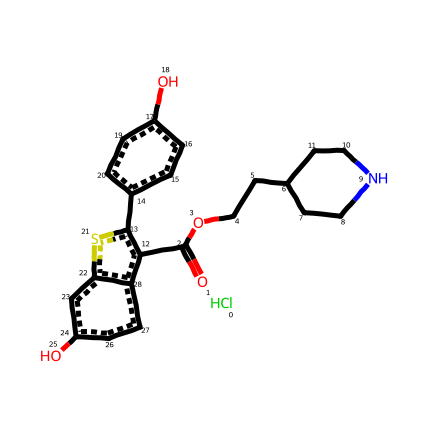 Cl.O=C(OCCC1CCNCC1)c1c(-c2ccc(O)cc2)sc2cc(O)ccc12